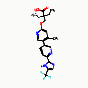 CCC(CC)(COc1cc(C)c(-c2ccc(-c3ncc(C(F)(F)F)[nH]3)nc2)cn1)C(=O)O